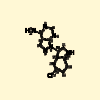 Nc1ncnc2c1cnn2-c1c[nH]c2ccc(Cl)cc12